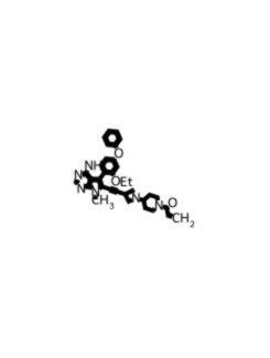 C=CC(=O)N1CCC(N2CC(C#Cc3c(-c4ccc(Oc5ccccc5)cc4OCC)c4c(N)ncnc4n3C)C2)CC1